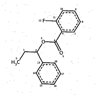 CCC(OC(=O)c1ccccc1F)c1ccccc1